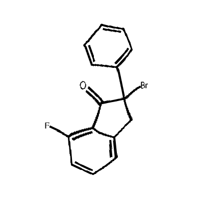 O=C1c2c(F)cccc2CC1(Br)c1ccccc1